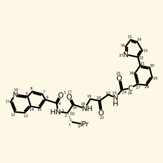 CC(C)C[C@H](NC(=O)c1ccc2ncccc2c1)C(=O)NCC(=O)CNC(=O)Cc1cccc(-c2ccccn2)c1